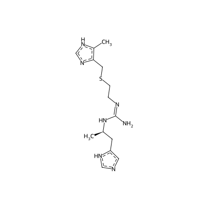 Cc1[nH]cnc1CSCCN=C(N)N[C@H](C)Cc1cnc[nH]1